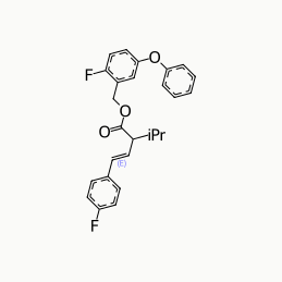 CC(C)C(/C=C/c1ccc(F)cc1)C(=O)OCc1cc(Oc2ccccc2)ccc1F